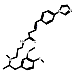 COc1ccc(CC(C)N(C)CCCNC(=O)C/C=C/c2ccc(-n3ccnc3)cc2)cc1OC